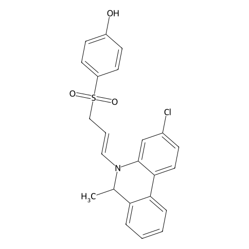 CC1c2ccccc2-c2ccc(Cl)cc2N1C=CCS(=O)(=O)c1ccc(O)cc1